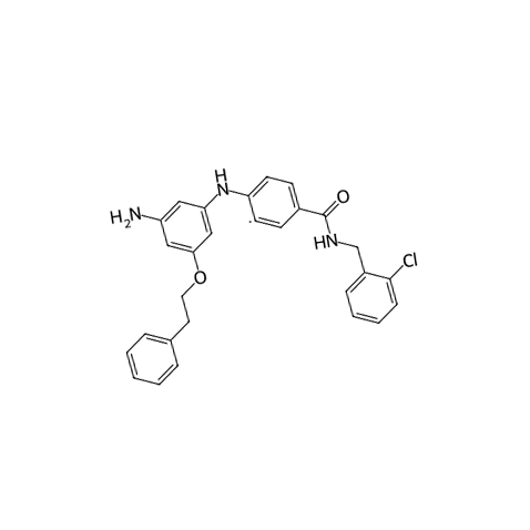 Nc1cc(Nc2[c]cc(C(=O)NCc3ccccc3Cl)cc2)cc(OCCc2ccccc2)c1